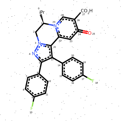 CC(C)[C@@H]1Cn2nc(-c3ccc(F)cc3)c(-c3ccc(F)cc3)c2-c2cc(=O)c(C(=O)O)cn21